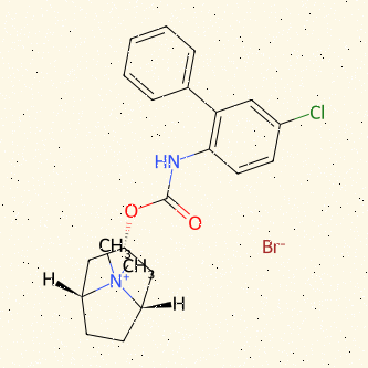 C[N+]1(C)[C@@H]2CC[C@H]1C[C@@H](OC(=O)Nc1ccc(Cl)cc1-c1ccccc1)C2.[Br-]